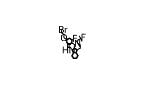 CC(C)(F)CN1CCc2c([nH]c3ccccc23)C1c1c(F)cc(OCCBr)cc1F